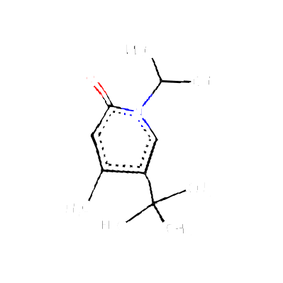 Cc1cc(=O)n(C(C)C)cc1C(C)(C)C